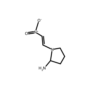 NC1CCCN1C=C[N+](=O)[O-]